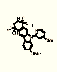 COc1ccc2c3cc4c(cc3n(-c3cc(C(C)(C)C)ccn3)c2c1)C(C)(C)CCC4(C)C